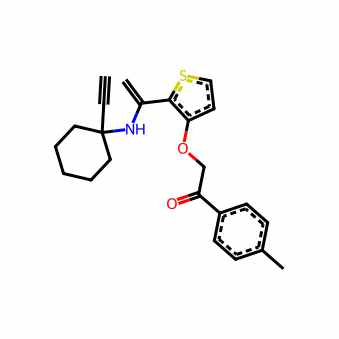 C#CC1(NC(=C)c2sccc2OCC(=O)c2ccc(C)cc2)CCCCC1